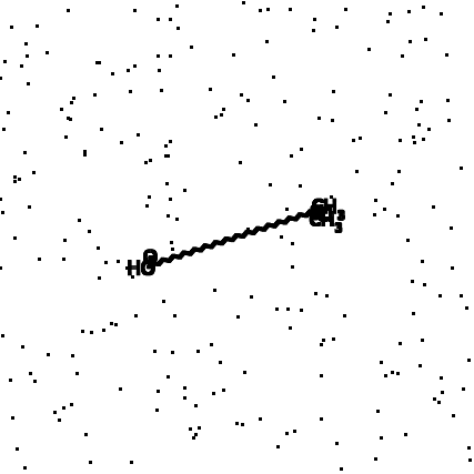 C[Si](C)(Cl)CCCCCCCCCCCCCCCCCCCCCCCCCCCCCCC(=O)O